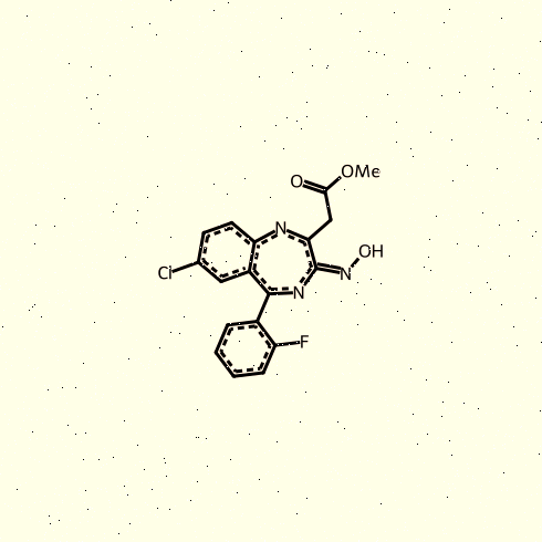 COC(=O)Cc1nc2ccc(Cl)cc2c(-c2ccccc2F)n/c1=N/O